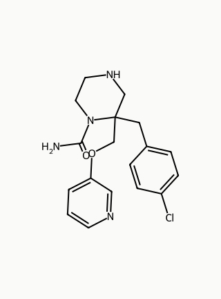 NC(=O)N1CCNCC1(COc1cccnc1)Cc1ccc(Cl)cc1